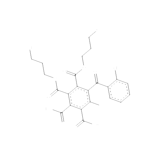 CCCCOC(=O)c1c(C(=O)c2ccccc2Cl)c(Cl)c(C(=O)O)c(C(=O)O)c1C(=O)OCCCC